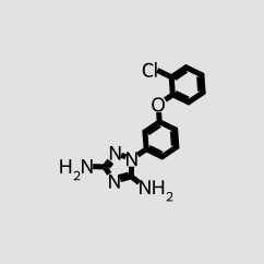 Nc1nc(N)n(-c2cccc(Oc3ccccc3Cl)c2)n1